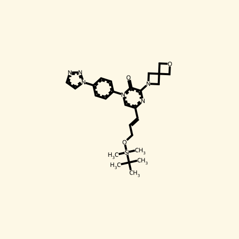 CC(C)(C)[Si](C)(C)OC/C=C/c1cn(-c2ccc(-n3ccnn3)cc2)c(=O)c(N2CC3(COC3)C2)n1